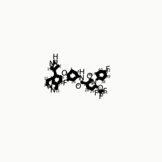 O=C(Nc1ccc(Oc2cc3cnn4ccc(c2-c2cn[nH]c2)c34)c(F)c1)c1ccc(OC(F)(F)F)n(-c2ccc(F)cc2)c1=O